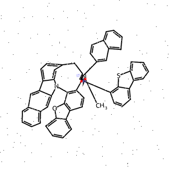 CC1C/C=C2/C(=C(c3ccc4ccccc4c3)\N=C/1c1cccc3c1sc1ccccc13)Cc1ccc3c4cc5ccccc5cc4n(c3c1)-c1c2ccc2c1oc1ccccc12